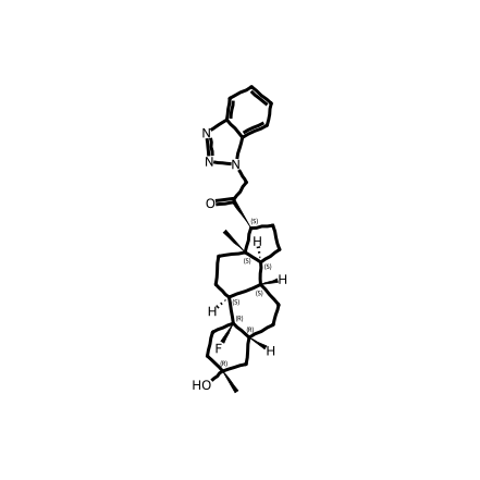 C[C@@]1(O)CC[C@@]2(F)[C@H](CC[C@H]3[C@@H]4CC[C@H](C(=O)Cn5nnc6ccccc65)[C@@]4(C)CC[C@@H]32)C1